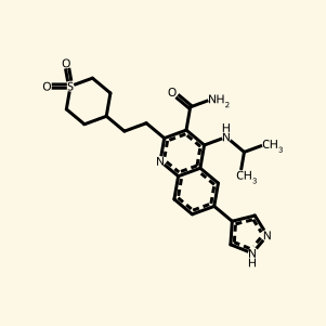 CC(C)Nc1c(C(N)=O)c(CCC2CCS(=O)(=O)CC2)nc2ccc(-c3cn[nH]c3)cc12